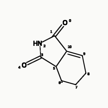 O=C1NC(=O)C2[C]CCC=C12